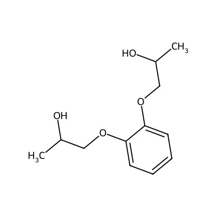 CC(O)COc1ccccc1OCC(C)O